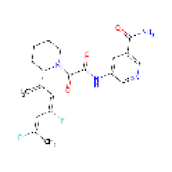 C=C(/C=C(F)\C=C(/C)F)[C@@H]1CCCCN1C(=O)C(=O)Nc1cncc(C(N)=O)c1